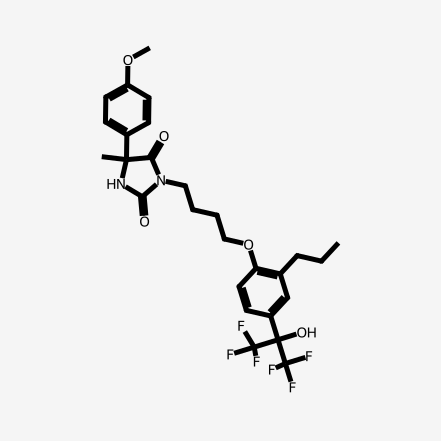 CCCc1cc(C(O)(C(F)(F)F)C(F)(F)F)ccc1OCCCCN1C(=O)NC(C)(c2ccc(OC)cc2)C1=O